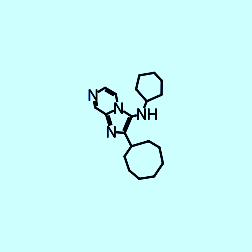 c1cn2c(NC3CCCCC3)c(C3CCCCCCC3)nc2cn1